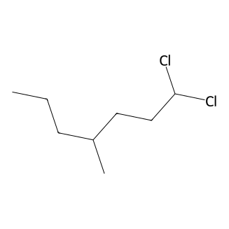 CCCC(C)CCC(Cl)Cl